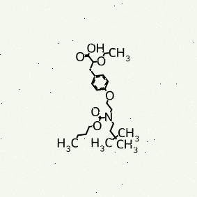 CCCCOC(=O)N(CCOc1ccc(CC(OCC)C(=O)O)cc1)CCC(C)(C)C